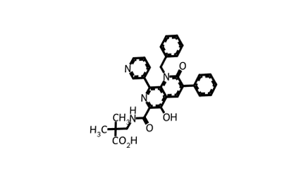 CC(C)(CNC(=O)c1nc(-c2cccnc2)c2c(cc(-c3ccccc3)c(=O)n2Cc2ccccc2)c1O)C(=O)O